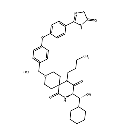 CCCCN1C(=O)[C@@H]([C@H](O)C2CCCCC2)NC(=O)C12CCN(Cc1ccc(Oc3ccc(-c4nsc(=O)[nH]4)cc3)cc1)CC2.Cl